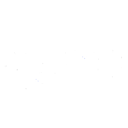 O=C(NCC1CCOCC1)c1ccc(-c2nccc3occc23)cc1